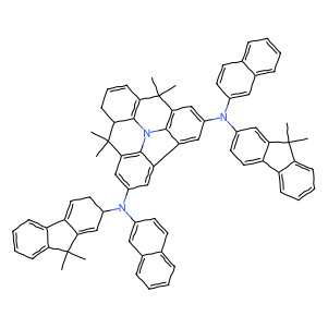 CC1(C)C2=CC(N(c3ccc4ccccc4c3)c3cc4c5c(c3)c3cc(N(c6ccc7c(c6)C(C)(C)c6ccccc6-7)c6ccc7ccccc7c6)cc6c3n5C3=C(C=CCC3C4(C)C)C6(C)C)CC=C2c2ccccc21